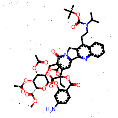 CC[C@@]1(OC(=O)c2ccc(N)cc2O[C@@H]2O[C@H](C(=O)OC)[C@@H](OC(C)=O)[C@H](OC(C)=O)[C@H]2OC(C)=O)C(=O)OCc2c1cc1n(c2=O)Cc2c-1nc1ccccc1c2CCN(C(=O)OC(C)(C)C)C(C)C